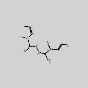 C/C=C\[S+]([O-])C(CC)SSC(CC)[S+]([O-])/C=C/C